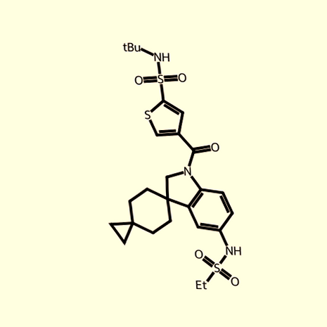 CCS(=O)(=O)Nc1ccc2c(c1)C1(CCC3(CC3)CC1)CN2C(=O)c1csc(S(=O)(=O)NC(C)(C)C)c1